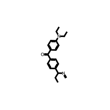 C=NC(CC)c1ccc(C(=O)c2ccc(N(CC)CC)cc2)cc1